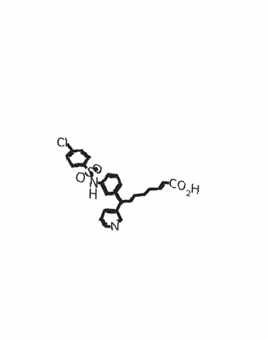 O=C(O)/C=C/CCCCC(c1cccnc1)c1cccc(NS(=O)(=O)c2ccc(Cl)cc2)c1